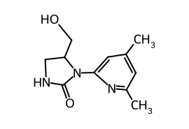 Cc1cc(C)nc(N2C(=O)NCC2CO)c1